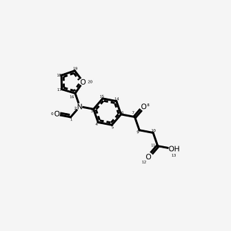 O=CN(c1ccc(C(=O)CCC(=O)O)cc1)c1ccco1